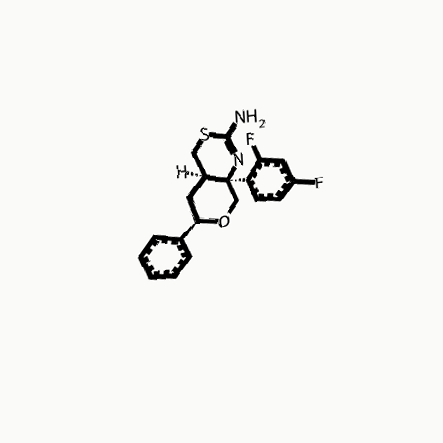 NC1=N[C@@]2(c3ccc(F)cc3F)CO[C@@H](c3ccccc3)C[C@H]2CS1